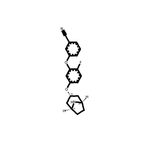 N#Cc1cccc(Oc2cc(O[C@@H]3C[C@H]4CC[C@@H](C3)N4)ccc2F)c1